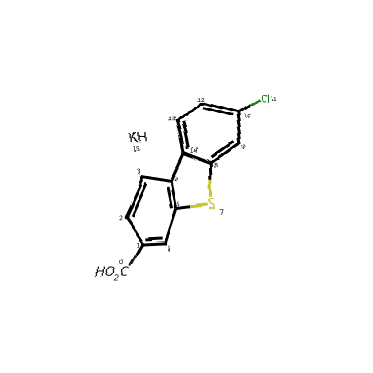 O=C(O)c1ccc2c(c1)sc1cc(Cl)ccc12.[KH]